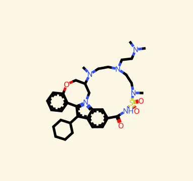 CN(C)CCN1CCN(C)C2COc3ccccc3-c3c(C4CCCCC4)c4ccc(cc4n3C2)C(=O)NS(=O)(=O)N(C)CC1